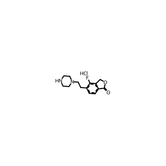 Cl.O=C1OCc2c1ccc(CCN1CCNCC1)c2F